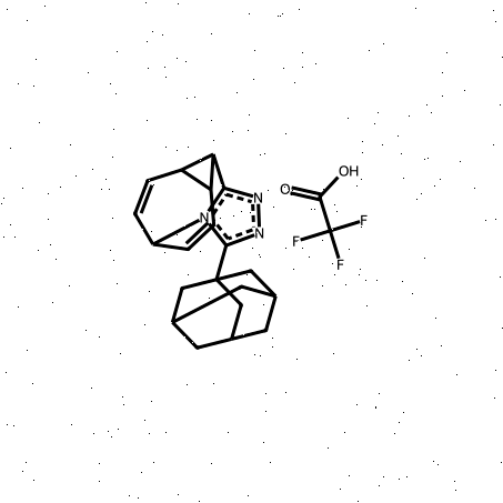 C1=CC2C=CC3C1C3c1nnc(C34CC5CC(CC(C5)C3)C4)n12.O=C(O)C(F)(F)F